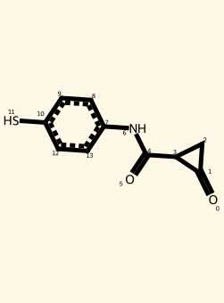 O=C1CC1C(=O)Nc1ccc(S)cc1